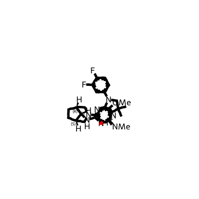 CNc1nc(N[C@H]2[C@@H]3CC[C@H]2CN(c2cnnc(OC)c2)C3)nc2c1C(C)(C)CN2c1ccc(F)c(F)c1